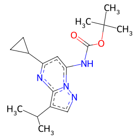 CC(C)c1cnn2c(NC(=O)OC(C)(C)C)cc(C3CC3)nc12